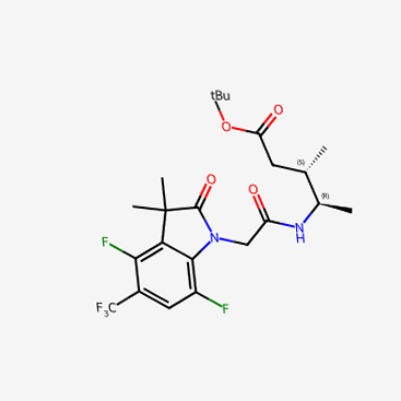 C[C@@H](CC(=O)OC(C)(C)C)[C@@H](C)NC(=O)CN1C(=O)C(C)(C)c2c(F)c(C(F)(F)F)cc(F)c21